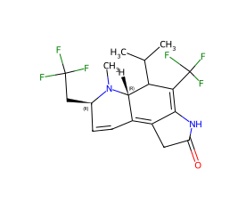 CC(C)C1C(C(F)(F)F)=C2NC(=O)CC2=C2C=C[C@@H](CC(F)(F)F)N(C)[C@@H]21